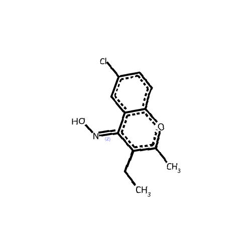 CCc1c(C)oc2ccc(Cl)cc2/c1=N\O